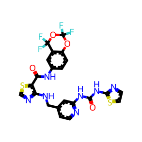 O=C(Nc1cc(CNc2ncsc2C(=O)Nc2ccc3c(c2)C(F)(F)OC(F)(F)O3)ccn1)Nc1nccs1